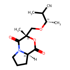 CC(C#N)[C@H](C)OC[C@]1(C)OC(=O)[C@H]2CCCN2C1=O